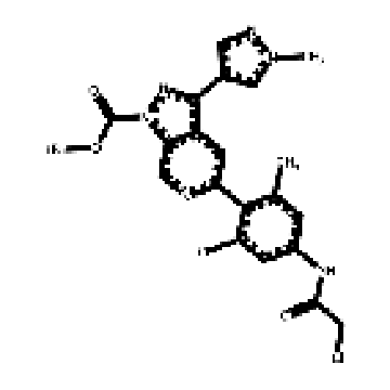 Cc1cc(NC(=O)CCl)cc(Cl)c1-c1cc2c(-c3cnn(C)c3)nn(C(=O)OC(C)(C)C)c2cn1